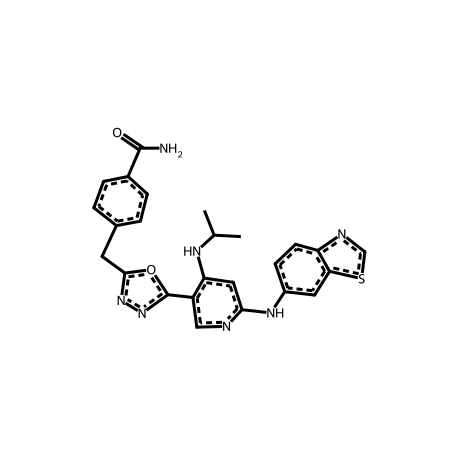 CC(C)Nc1cc(Nc2ccc3ncsc3c2)ncc1-c1nnc(Cc2ccc(C(N)=O)cc2)o1